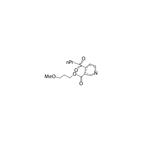 CCCS(=O)(=O)c1ccncc1C(=O)OCCCOC